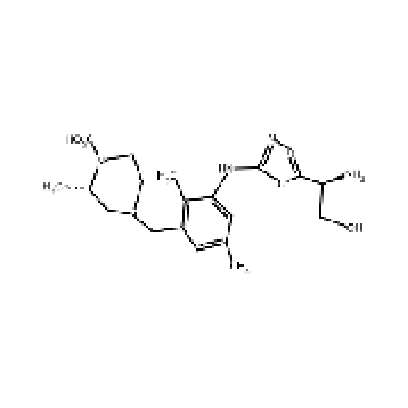 Cc1cc(CN2CCN(C(=O)O)[C@@H](C)C2)c(C)c(Nc2nnc([C@@H](N)CO)o2)c1